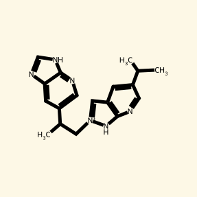 CC(C)c1cnc2[nH][n+](CC(C)c3cnc4[nH]cnc4c3)cc2c1